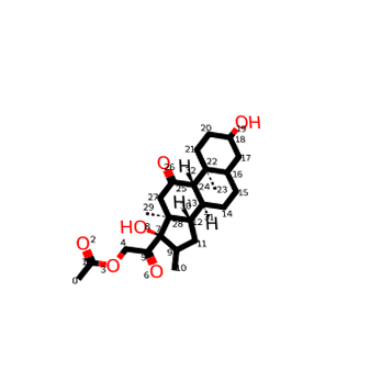 CC(=O)OCC(=O)[C@@]1(O)C(C)C[C@H]2[C@@H]3CCC4CC(O)CC[C@]4(C)[C@H]3C(=O)C[C@@]21C